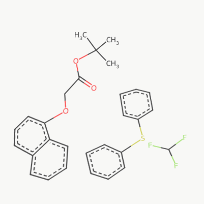 CC(C)(C)OC(=O)COc1cccc2ccccc12.FC(F)F.c1ccc(Sc2ccccc2)cc1